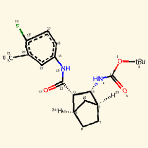 CC(C)(C)OC(=O)N[C@@H]1[C@H]2CC[C@H](C2)[C@@H]1C(=O)Nc1ccc(F)c(C(F)(F)F)c1